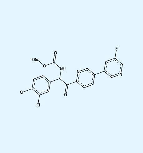 CC(C)(C)OC(=O)NC(C(=O)c1ccc(-c2cncc(F)c2)cn1)c1ccc(Cl)c(Cl)c1